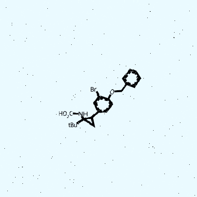 CC(C)(C)C1(NC(=O)O)CC1c1ccc(OCc2ccccc2)c(Br)c1